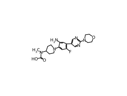 CN(C(=O)O)C1CCN(c2cc(F)c(-c3cnc(N4CCOCC4)nc3)cc2N)CC1